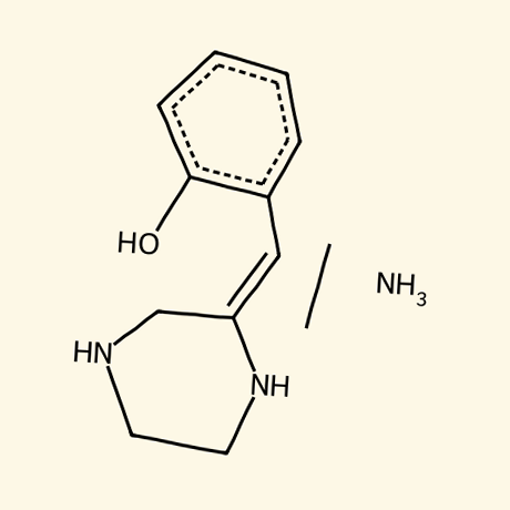 CC.N.Oc1ccccc1C=C1CNCCN1